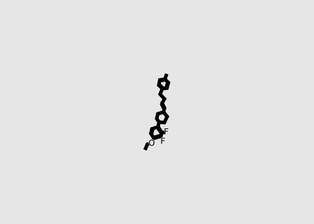 CCOc1ccc(C2CCC(/C=C/CCc3ccc(C)cc3)CC2)c(F)c1F